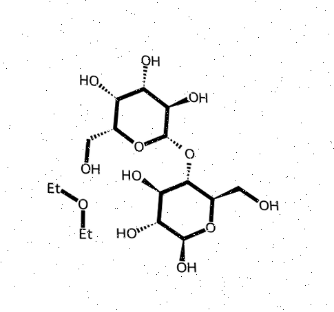 CCOCC.OC[C@H]1O[C@@H](O[C@H]2[C@H](O)[C@@H](O)[C@H](O)O[C@@H]2CO)[C@H](O)[C@@H](O)[C@H]1O